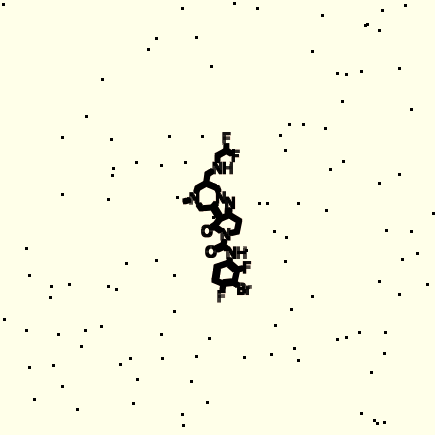 CN1Cc2c3c(nn2CC(CNCC(F)F)C1)CCN(C(=O)Nc1ccc(F)c(Br)c1F)C3=O